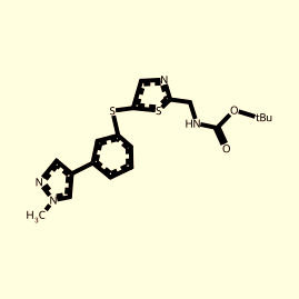 Cn1cc(-c2cccc(Sc3cnc(CNC(=O)OC(C)(C)C)s3)c2)cn1